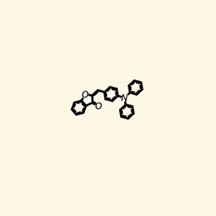 O=C1/C(=C\c2ccc(N(c3ccccc3)c3ccccc3)cc2)Oc2ccccc21